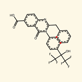 O=C(O)c1ccc2nc(Cc3ccccc3)n(-c3ccc(C(O)(C(F)(F)F)C(F)(F)F)cc3)c(=O)c2c1